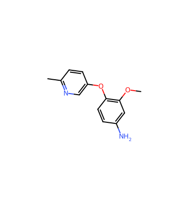 COc1cc(N)ccc1Oc1ccc(C)nc1